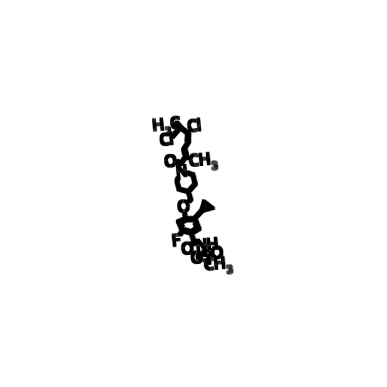 C=C(Cl)/C(Cl)=C\C=C(/C)C(=O)N1CCC(COc2cc(F)c(C(=O)NS(C)(=O)=O)cc2C2CC2)CC1